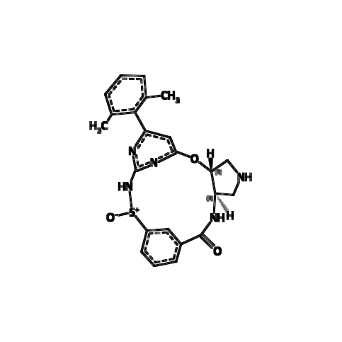 Cc1cccc(C)c1-c1cc2nc(n1)N[S+]([O-])c1cccc(c1)C(=O)N[C@@H]1CNC[C@H]1O2